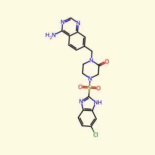 Nc1ncnc2cc(CN3CCN(S(=O)(=O)c4nc5ccc(Cl)cc5[nH]4)CC3=O)ccc12